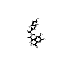 CC(c1n[nH]c(=O)c2cc(F)c(F)cc12)N(C)C(=O)c1cc2sc(F)cc2[nH]1